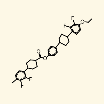 CCOc1ccc(C2CCC(c3ccc(OC(=O)C4CCC(c5ccc(C)c(F)c5F)CC4)cc3)CC2)c(F)c1F